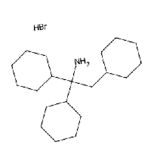 Br.NC(CC1CCCCC1)(C1CCCCC1)C1CCCCC1